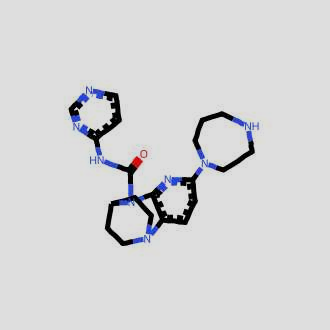 O=C(Nc1ccncn1)N1c2nc(N3CCCNCC3)ccc2N2CCC1CC2